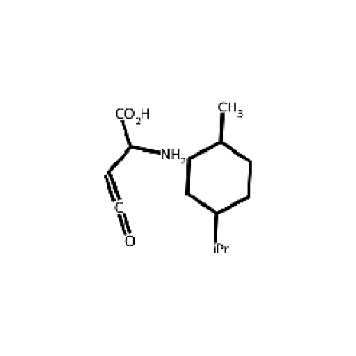 CC1CCC(C(C)C)CC1.NC(C=C=O)C(=O)O